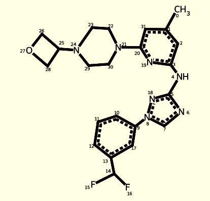 Cc1cc(Nc2ncn(-c3cccc(C(F)F)c3)n2)nc(N2CCN(C3COC3)CC2)c1